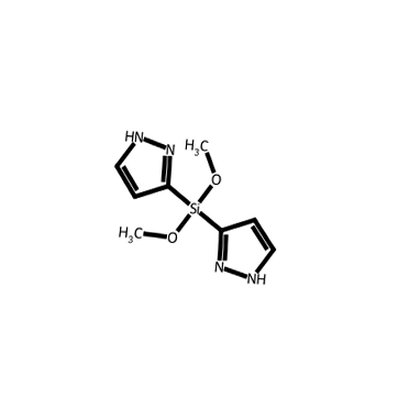 CO[Si](OC)(c1cc[nH]n1)c1cc[nH]n1